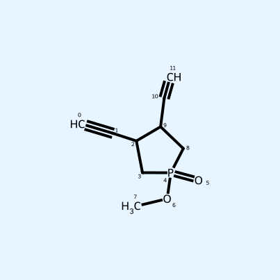 C#CC1CP(=O)(OC)CC1C#C